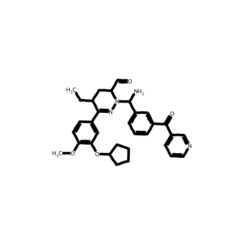 CCC1CC(C=O)N(C(N)c2cccc(C(=O)c3cccnc3)c2)N=C1c1ccc(OC)c(OC2CCCC2)c1